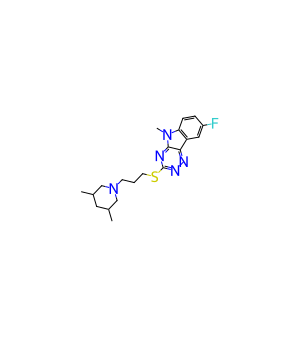 CC1CC(C)CN(CCCSc2nnc3c4cc(F)ccc4n(C)c3n2)C1